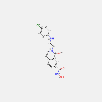 O=C(NO)c1ccc2ccn(CCNc3ccc(Cl)cc3)c(=O)c2c1